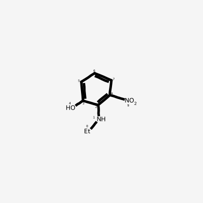 CCNc1c(O)cccc1[N+](=O)[O-]